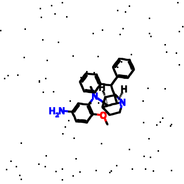 COc1ccc(N)cc1N(C)[C@@H]1C2CCN(CC2)[C@@H]1C(c1ccccc1)c1ccccc1